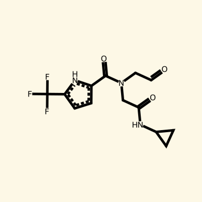 O=CCN(CC(=O)NC1CC1)C(=O)c1ccc(C(F)(F)F)[nH]1